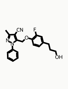 Cc1nn(-c2ccccc2)c(COc2ccc(CCCO)cc2F)c1C#N